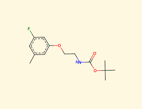 Cc1cc(F)cc(OCCNC(=O)OC(C)(C)C)c1